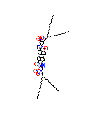 CCCCCCCCCCCCC(C#Cc1cc2c(cc1[N+](=O)[O-])nc1c3ccc4c5ccc6c(=O)n7c8cc([N+](=O)[O-])c(C#CC(CCCCCCCCCCCC)CCCCCCCCCCCC)cc8nc7c7ccc(c8ccc(c(=O)n21)c3c48)c5c67)CCCCCCCCCCCC